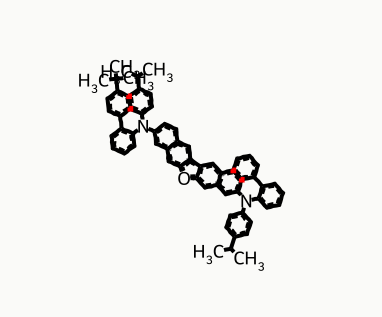 CC(C)c1ccc(N(c2ccc3cc4c(cc3c2)oc2cc3cc(N(c5ccc(C(C)C)cc5)c5ccccc5-c5ccc(C(C)(C)C)cc5)ccc3cc24)c2ccccc2-c2ccccc2)cc1